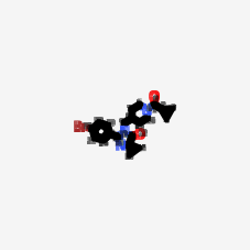 O=C(C1CC1)N1CCC(CN2C(=O)C3(CC3)N=C2c2ccc(Br)cc2)CC1